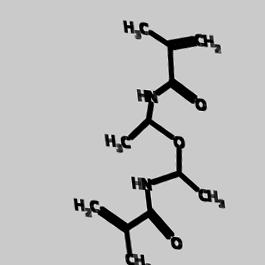 C=C(C)C(=O)NC(C)OC(C)NC(=O)C(=C)C